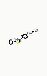 ClCCCOc1ccc(-c2csc(-c3ccccc3)n2)cc1